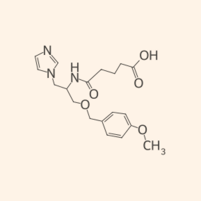 COc1ccc(COCC(Cn2ccnc2)NC(=O)CCCC(=O)O)cc1